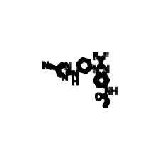 C=CC(=O)Nc1ccc2c(c1)nc(C(F)F)n2[C@H]1CCC[C@@H](Nc2ncc(C#N)cn2)C1